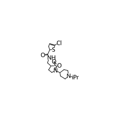 CC(C)N1CCC(N2CCC(CNC(=O)C3CC=C(Cl)S3)S2(=O)=O)CC1